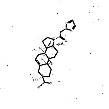 C[C@]12CC[C@H]3[C@@H](CC=C4C[C@](O)(C(F)F)CC[C@@H]43)[C@@H]1CC[C@@H]2C(=O)Cn1nccn1